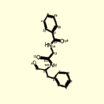 O=[C]C(Cc1ccccc1)NC(=O)CNC(=O)c1ccccc1